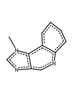 Cn1cnc2cnc3ccccc3c21